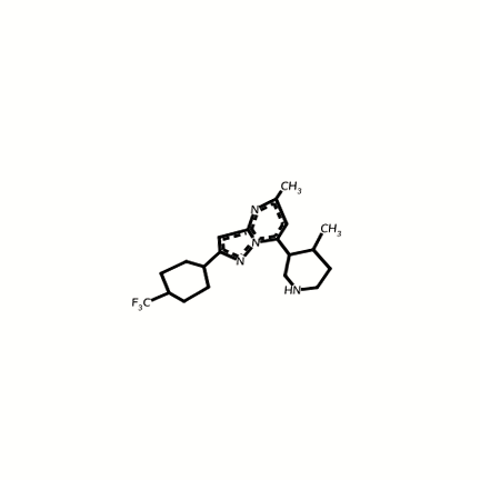 Cc1cc(C2CNCCC2C)n2nc(C3CCC(C(F)(F)F)CC3)cc2n1